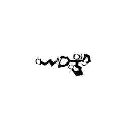 OC(c1ccco1)(c1ccco1)C1CCN(CCCCl)CC1